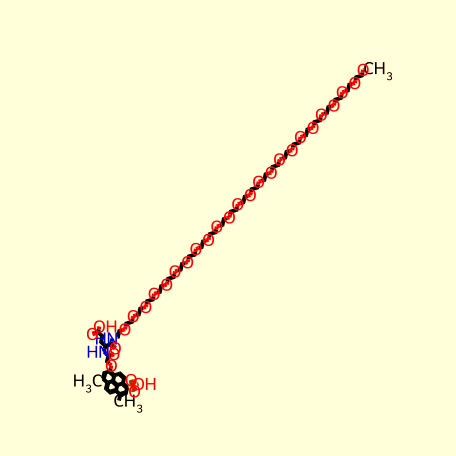 COCCOCCOCCOCCOCCOCCOCCOCCOCCOCCOCCOCCOCCOCCOCCOCCOCCOCCOCCOCCOCCOCCOCCOCCNC(=O)C(CCC(=O)O)NC(=O)COc1cc(C)c2ccc3c(C)cc(S(=O)(=O)O)c4ccc1c2c34